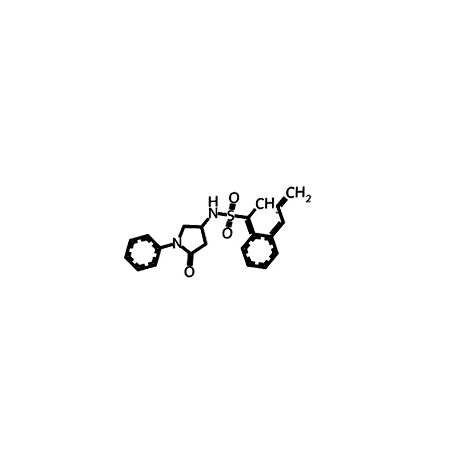 C=C/C=c1/cccc/c1=C(/C)S(=O)(=O)NC1CC(=O)N(c2ccccc2)C1